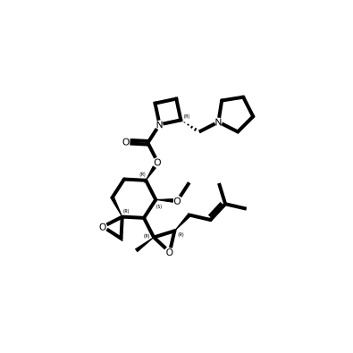 CO[C@H]1C([C@@]2(C)O[C@@H]2CC=C(C)C)[C@]2(CC[C@H]1OC(=O)N1CC[C@@H]1CN1CCCC1)CO2